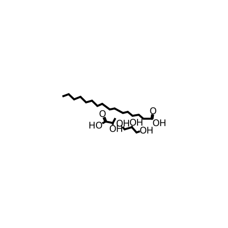 CC(O)C(=O)O.CCCCCCCCCCCCCCCC(=O)O.OCC(O)CO